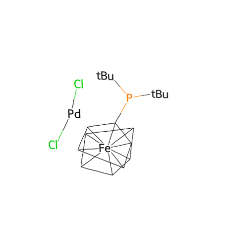 CC(C)(C)P(C(C)(C)C)[C]12[CH]3[CH]4[CH]5[CH]1[Fe]45321678[CH]2[CH]1[CH]6[CH]7[CH]28.[Cl][Pd][Cl]